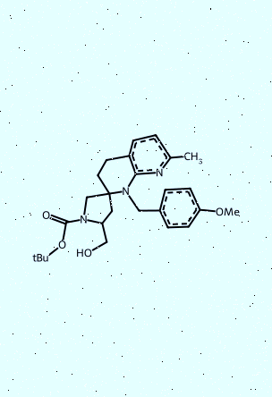 COc1ccc(CN2c3nc(C)ccc3CCC23CC(CO)N(C(=O)OC(C)(C)C)C3)cc1